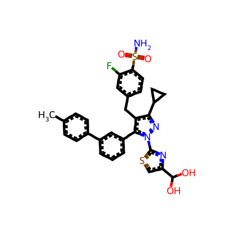 Cc1ccc(-c2cccc(-c3c(Cc4ccc(S(N)(=O)=O)c(F)c4)c(C4CC4)nn3-c3nc(C(O)O)cs3)c2)cc1